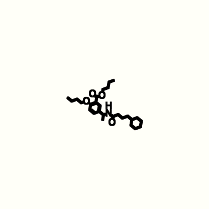 CCCCOC(=O)c1cc(C(C)NC(=O)CCCC2CCCCC2)ccc1OCCCC